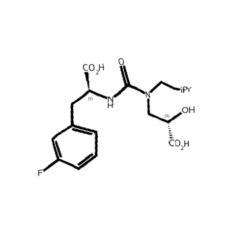 CC(C)CN(C[C@H](O)C(=O)O)C(=O)N[C@@H](Cc1cccc(F)c1)C(=O)O